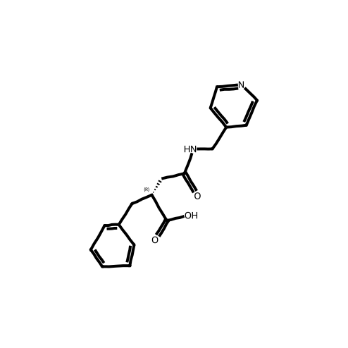 O=C(C[C@@H](Cc1ccccc1)C(=O)O)NCc1ccncc1